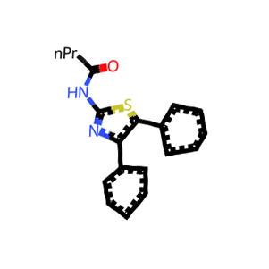 CCCC(=O)Nc1nc(-c2ccccc2)c(-c2ccccc2)s1